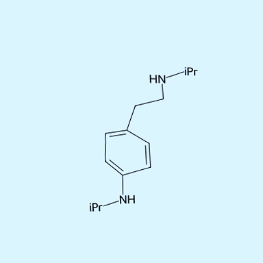 CC(C)NCCc1ccc(NC(C)C)cc1